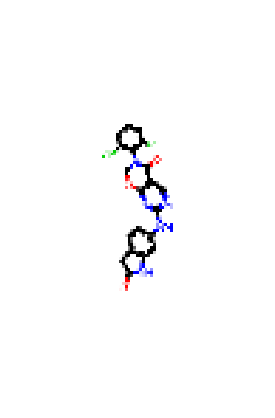 O=C1Cc2ccc(Nc3ncc4c(n3)OCN(c3c(Cl)cccc3Cl)C4=O)cc2N1